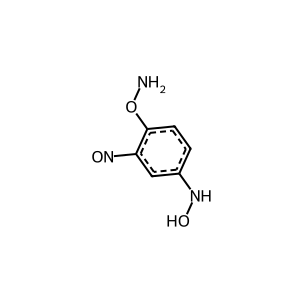 NOc1ccc(NO)cc1N=O